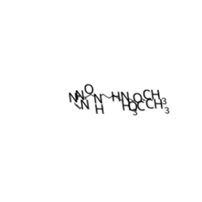 CC(C)(C)OC(=O)NCCCCNC(=O)c1nccnn1